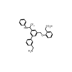 NCc1cccc(-c2cc(COc3ccccc3CC(=O)O)cc(C(Nc3ccccc3)C(F)(F)F)c2)c1